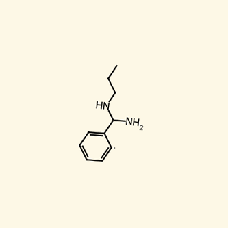 CCCNC(N)c1[c]cccc1